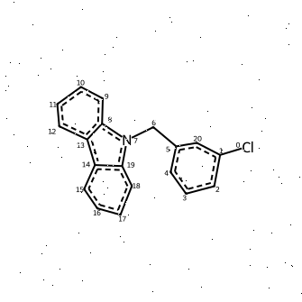 Clc1cccc(Cn2c3ccccc3c3ccccc32)c1